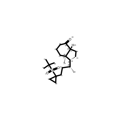 C[C@H](CCC1(S(=O)(=O)C(C)(C)C)CC1)[C@H]1CC[C@H]2C(=O)CCC[C@]12C